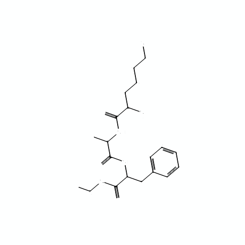 CC(NC(=O)C(N)CCCCN)C(=O)NC(Cc1ccccc1)C(=O)NCC(=O)O